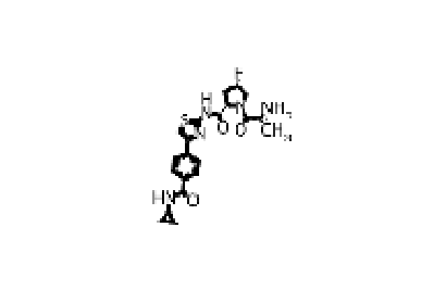 C[C@@H](N)C(=O)N1C[C@@H](F)C[C@H]1C(=O)Nc1nc(-c2ccc(C(=O)NC3CC3)cc2)cs1